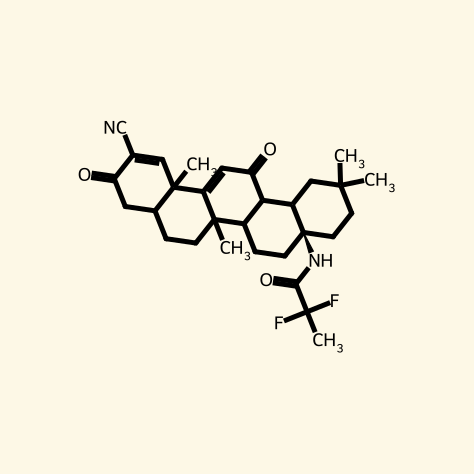 CC1(C)CC[C@]2(NC(=O)C(C)(F)F)CCC3C(C(=O)C=C4C5(C)C=C(C#N)C(=O)CC5CCC43C)C2C1